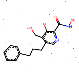 O=C(NO)c1ncc(CCCc2ccccc2)c(CO)c1O